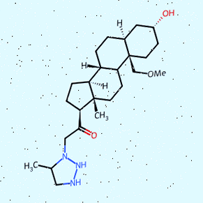 COC[C@]12CC[C@@H](O)C[C@@H]1CC[C@@H]1C2CC[C@]2(C)[C@@H](C(=O)CN3NNCC3C)CC[C@@H]12